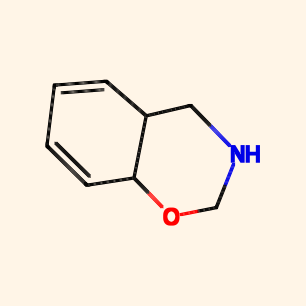 C1=CC2CNCOC2C=C1